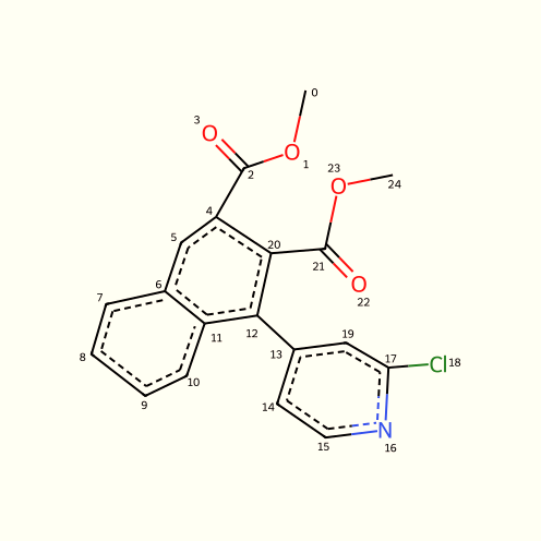 COC(=O)c1cc2ccccc2c(-c2ccnc(Cl)c2)c1C(=O)OC